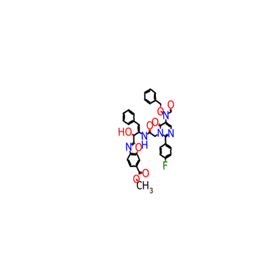 COC(=O)c1ccc2nc(C(O)C(=Cc3ccccc3)NC(=O)Cn3c(-c4ccc(F)cc4)ncc(N(C=O)OCc4ccccc4)c3=O)oc2c1